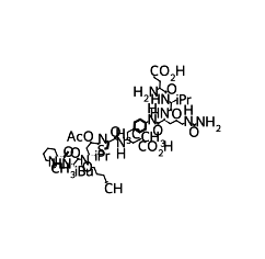 C#CCCCON(C(=O)[C@@H](NC(=O)[C@H]1CCCCN1C)[C@@H](C)CC)[C@H](C[C@@H](OC(C)=O)c1nc(C(=O)N[C@@H](Cc2ccc(NC(=O)[C@H](CCCNC(N)=O)NC(=O)[C@@H](NC(=O)[C@@H](N)CCC(=O)O)C(C)C)cc2)CC(C)(C)C(=O)O)cs1)C(C)C